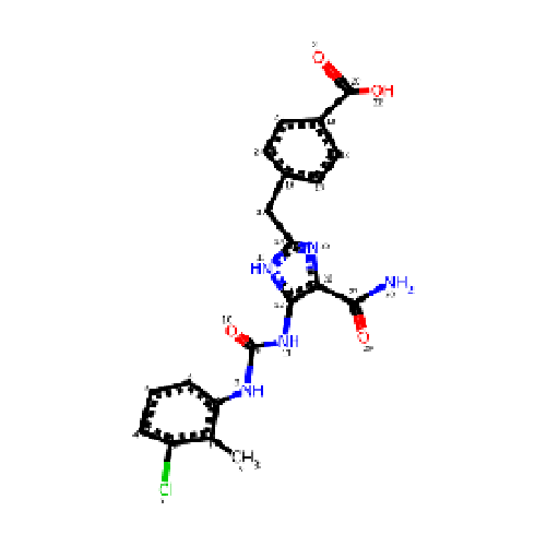 Cc1c(Cl)cccc1NC(=O)Nc1[nH]c(Cc2ccc(C(=O)O)cc2)nc1C(N)=O